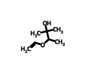 C=COC(C)C(C)(C)O